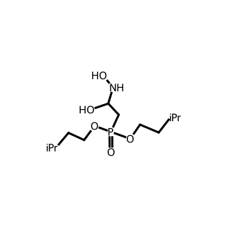 CC(C)CCOP(=O)(CC(O)NO)OCCC(C)C